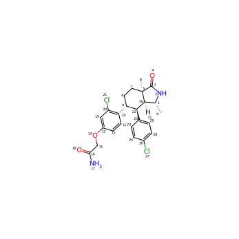 C[C@H]1NC(=O)[C@]2(C)CC[C@@H](c3ccc(OCC(N)=O)cc3Cl)[C@H](c3ccc(Cl)cc3)[C@H]12